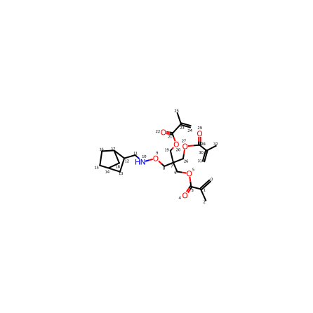 C=C(C)C(=O)OCC(CONCC1CC2CCC1C2)(COC(=O)C(=C)C)COC(=O)C(=C)C